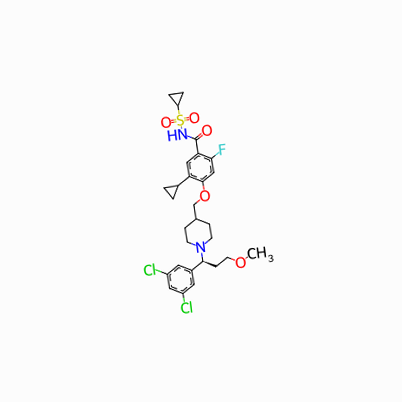 COCC[C@@H](c1cc(Cl)cc(Cl)c1)N1CCC(COc2cc(F)c(C(=O)NS(=O)(=O)C3CC3)cc2C2CC2)CC1